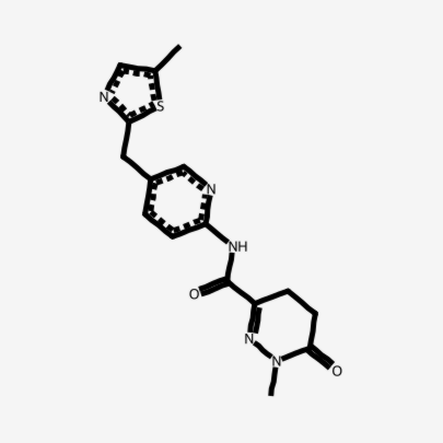 Cc1cnc(Cc2ccc(NC(=O)C3=NN(C)C(=O)CC3)nc2)s1